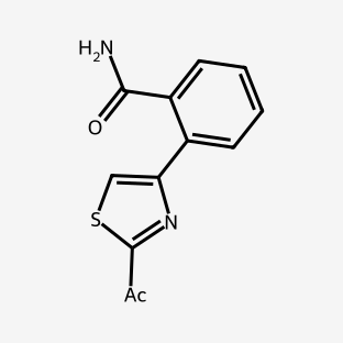 CC(=O)c1nc(-c2ccccc2C(N)=O)cs1